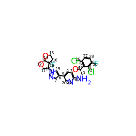 C[C@@H](Oc1cc(-c2cnn(C3COC4OCCC43F)c2)cnc1N)c1c(Cl)ccc(F)c1Cl